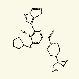 CO[C@H]1CCC[C@@H]1Nc1cc(C(=O)N2CCC(C3(NC=O)CC3)CC2)nc(-c2cnn3ccsc23)n1